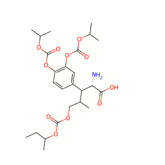 CCC(C)OC(=O)OCC(C)C(c1ccc(OC(=O)OC(C)C)c(OC(=O)OC(C)C)c1)[C@H](N)C(=O)O